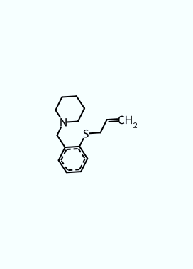 C=CCSc1ccccc1CN1CCCCC1